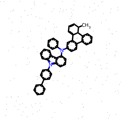 CC1C=CC=C2c3cc(N(c4ccccc4)c4cccc5c4c4ccccc4n5-c4ccc(-c5ccccc5)cc4)ccc3-c3ccccc3C21